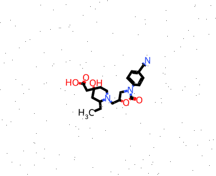 CCC1CC(O)(CC(=O)O)CCN1CC1CN(c2ccc(C#N)cc2)C(=O)O1